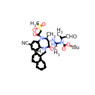 Cc1ccc2ccccc2c1CN1C(=O)[C@@H](N[C@H](C)N(C(=O)OC(C)(C)C)C(C)C=O)[C@H](C)N(C(=O)CS(C)(=O)=O)c2cc(C#N)ccc21